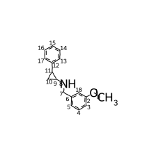 COc1cccc(CNC2CC2c2ccccc2)c1